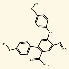 CC(C)Oc1ccc(Nc2cc(-c3ccc(OC(C)C)cc3)c(C(N)=O)cc2N=N)cc1